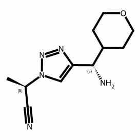 C[C@H](C#N)n1cc([C@@H](N)C2CCOCC2)nn1